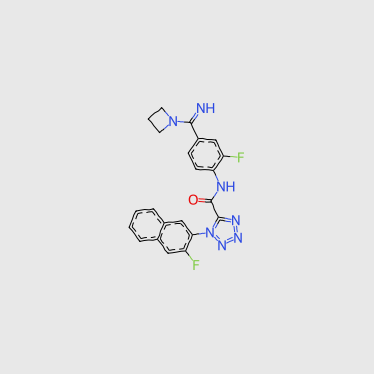 N=C(c1ccc(NC(=O)c2nnnn2-c2cc3ccccc3cc2F)c(F)c1)N1CCC1